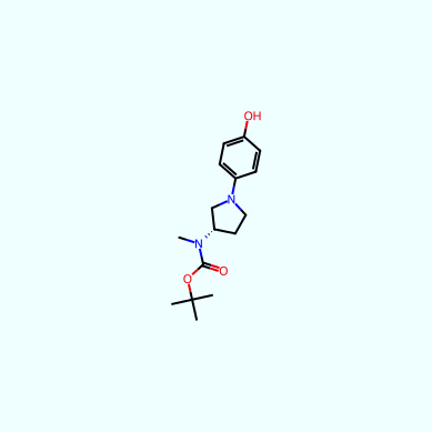 CN(C(=O)OC(C)(C)C)[C@H]1CCN(c2ccc(O)cc2)C1